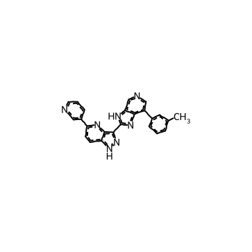 Cc1cccc(-c2cncc3[nH]c(-c4n[nH]c5ccc(-c6cccnc6)nc45)nc23)c1